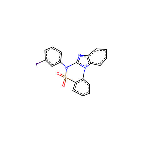 O=S1(=O)c2ccccc2-n2c(nc3ccccc32)N1c1cccc(I)c1